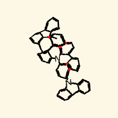 CC1(C)c2ccccc2-c2cccc(-c3cccc(N(c4ccc(-n5c6ccccc6c6ccccc65)cc4)c4ccccc4-c4ccccc4)c3-c3ccccc3)c21